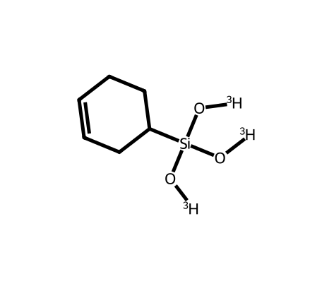 [3H]O[Si](O[3H])(O[3H])C1CC=CCC1